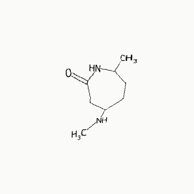 CNC1CCC(C)NC(=O)C1